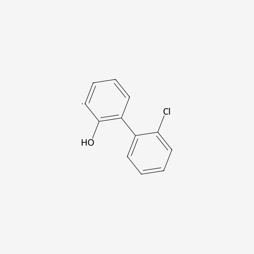 Oc1[c]cccc1-c1ccccc1Cl